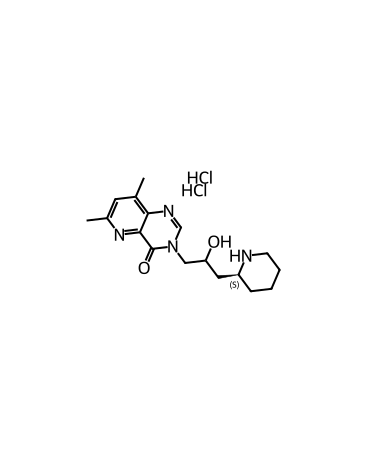 Cc1cc(C)c2ncn(CC(O)C[C@@H]3CCCCN3)c(=O)c2n1.Cl.Cl